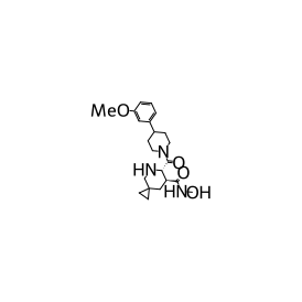 COc1cccc(C2CCN(C(=O)[C@H]3NCC4(CC4)C[C@@H]3C(=O)NO)CC2)c1